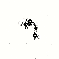 O=C(NCc1ccc(C(F)(F)F)c(-c2nc(C(F)(F)F)cc(=O)[nH]2)c1F)C1CC(OCc2ccc(F)c(Cl)c2)C1